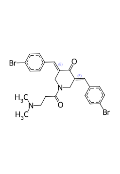 CN(C)CCC(=O)N1C/C(=C\c2ccc(Br)cc2)C(=O)/C(=C/c2ccc(Br)cc2)C1